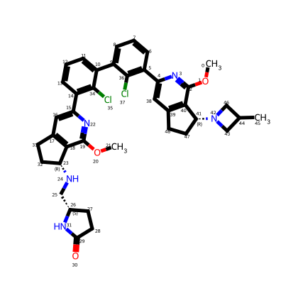 COc1nc(-c2cccc(-c3cccc(-c4cc5c(c(OC)n4)[C@H](NC[C@@H]4CCC(=O)N4)CC5)c3Cl)c2Cl)cc2c1[C@H](N1CC(C)C1)CC2